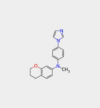 CN(c1ccc(-n2ccnc2)cc1)c1ccc2c(c1)OCCC2